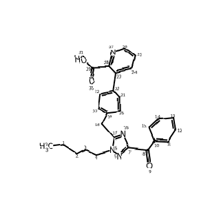 CCCCCn1nc(C(=O)c2ccccc2)nc1Cc1ccc(-c2cccnc2C(=O)O)cc1